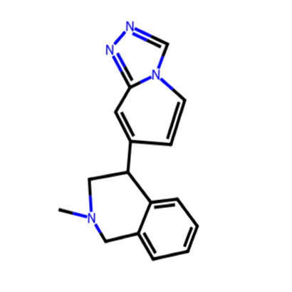 CN1Cc2ccccc2C(c2ccn3cnnc3c2)C1